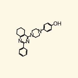 Oc1ccc(N2CCN(c3nc(-c4ccccc4)nc4c3CCCC4)CC2)cc1